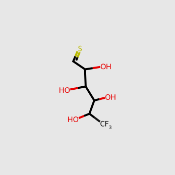 OC(C=S)C(O)C(O)C(O)C(F)(F)F